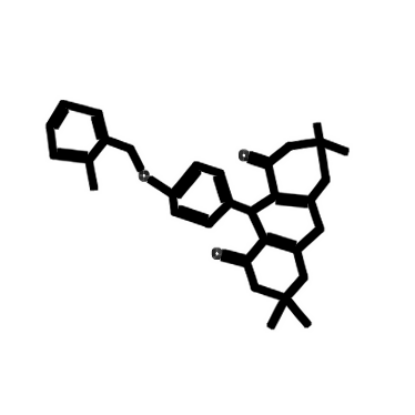 Cc1ccccc1COc1ccc(C2C3=C(CC4=C2C(=O)CC(C)(C)C4)CC(C)(C)CC3=O)cc1